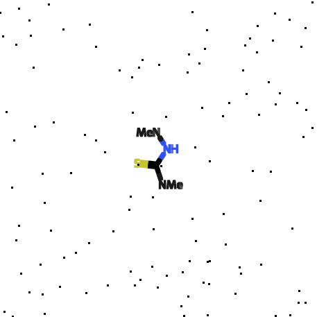 CNNC(=S)NC